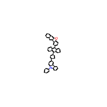 c1ccc(-n2c3ccccc3c3cc(-c4ccc(-c5c6ccccc6c(-c6ccc7oc8cc9ccccc9cc8c7c6)c6ccccc56)cc4)ccc32)cc1